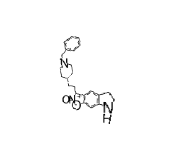 O=[N+]1Oc2cc3c(cc2C1CCC1CCN(Cc2ccccc2)CC1)CCN3